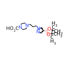 CC1(C)OB(c2cnn(CCCN3CCN(C(=O)O)CC3)c2)OC1(C)C